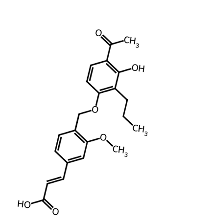 CCCc1c(OCc2ccc(C=CC(=O)O)cc2OC)ccc(C(C)=O)c1O